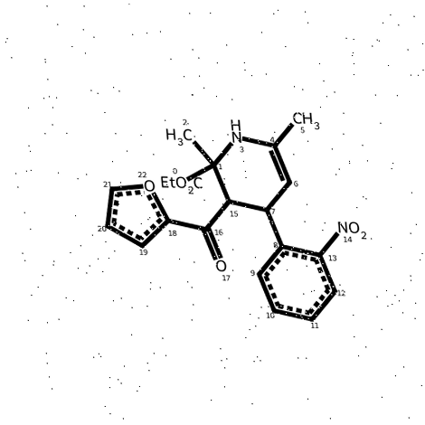 CCOC(=O)C1(C)NC(C)=CC(c2ccccc2[N+](=O)[O-])C1C(=O)c1ccco1